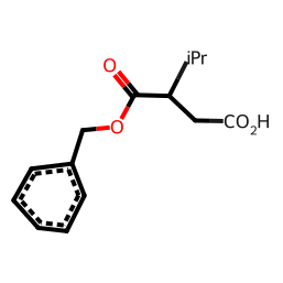 CC(C)C(CC(=O)O)C(=O)OCc1ccccc1